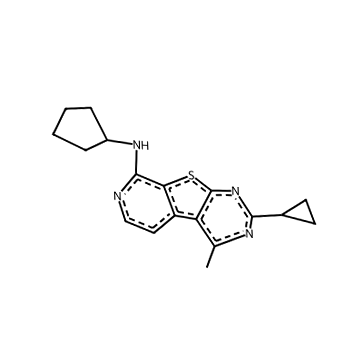 Cc1nc(C2CC2)nc2sc3c(NC4CCCC4)nccc3c12